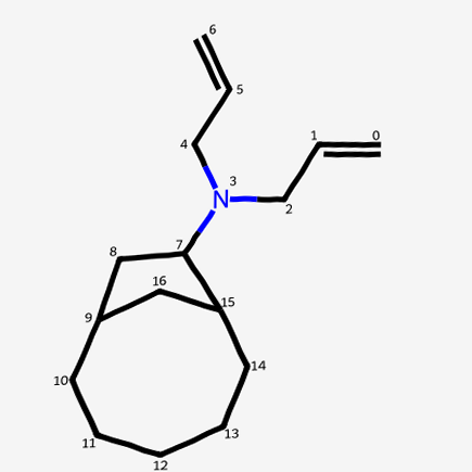 C=CCN(CC=C)C1CC2CCCCCC1C2